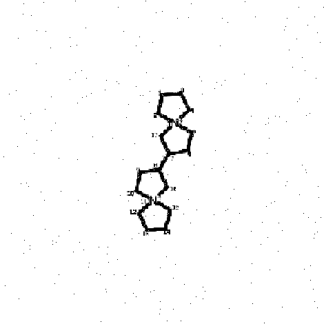 C1CC[N+]2(C1)CCC(C1CC[N+]3(CCCC3)C1)C2